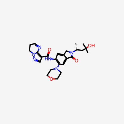 C[C@H](CC(C)(C)O)N1Cc2cc(NC(=O)c3cnn4c3N=CCC4)c(N3CCOCC3)cc2C1=O